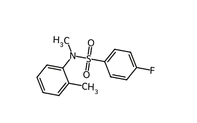 Cc1ccccc1N(C)S(=O)(=O)c1ccc(F)cc1